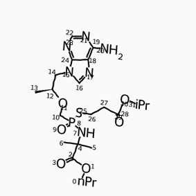 CCCOC(=O)C(C)(C)NP(=O)(CO[C@@H](C)Cn1cnc2c(N)ncnc21)SCCC(=O)OC(C)C